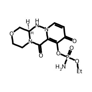 CCOP(N)(=O)Oc1c2n(ccc1=O)N[C@@H]1COCCN1C2=O